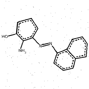 Nc1c(O)cccc1N=Nc1cccc2ccccc12